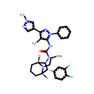 COCCN1[C@@H]2CCC[C@H]1[C@@H](c1ccc(F)c(F)c1)[C@@H]2NC(=O)Nc1c(C)c(-c2cnn(C)c2)nn1-c1ccccc1